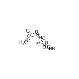 CN1CC[C@H](Oc2ccc(C(=O)N3CCN(C(=O)c4cc(F)cc(N(C)C(=O)C5CCNCC5)c4)CC3)cc2C2CCCCC2)C1